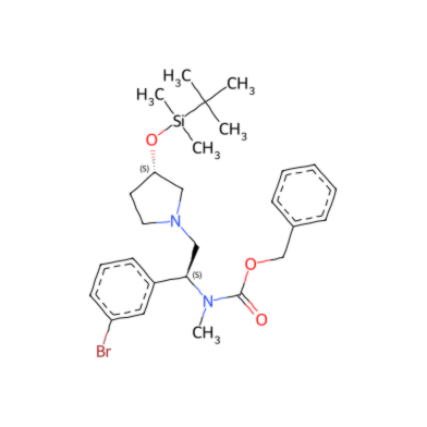 CN(C(=O)OCc1ccccc1)[C@H](CN1CC[C@H](O[Si](C)(C)C(C)(C)C)C1)c1cccc(Br)c1